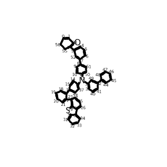 C1=Cc2oc3ccc(-c4ccc(N(c5ccc(-c6ccccc6-c6cccc7c6sc6ccccc67)cc5)c5cccc(-c6ccccc6)c5)cc4)cc3c2CC1